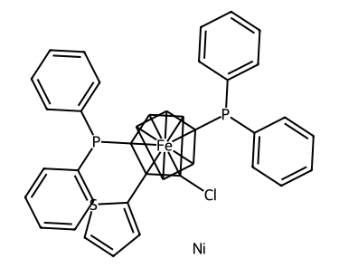 Cl[C]12[CH]3[CH]4[C]5(P(c6ccccc6)c6ccccc6)[C]1(c1cccs1)[Fe]34251678[CH]2[CH]1[CH]6[C]7(P(c1ccccc1)c1ccccc1)[CH]28.[Ni]